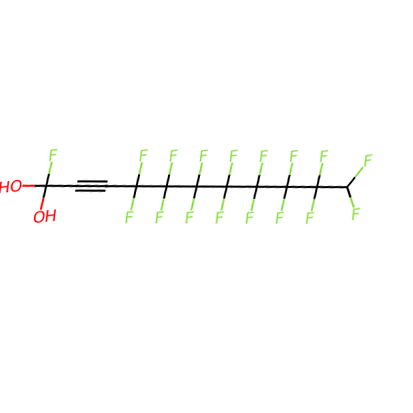 OC(O)(F)C#CC(F)(F)C(F)(F)C(F)(F)C(F)(F)C(F)(F)C(F)(F)C(F)(F)C(F)F